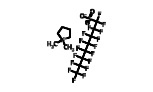 C[N+]1(C)CCCC1.O=S(=O)([O-])C(F)(F)C(F)(F)C(F)(F)C(F)(F)C(F)(F)C(F)(F)C(F)(F)C(F)(F)F